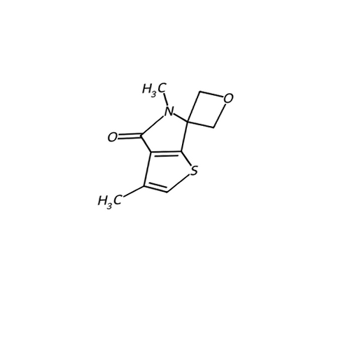 Cc1csc2c1C(=O)N(C)C21COC1